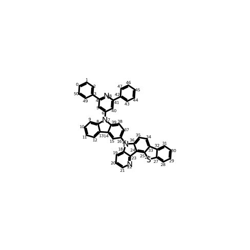 c1ccc(-c2cc(-n3c4ccccc4c4cc(-n5c6cccnc6c6c7sc8ccccc8c7ccc65)ccc43)cc(-c3ccccc3)n2)cc1